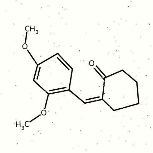 COc1ccc(/C=C2/CCCCC2=O)c(OC)c1